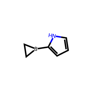 c1c[nH]c(B2CC2)c1